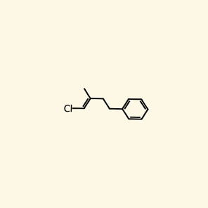 CC(=CCl)CCc1ccccc1